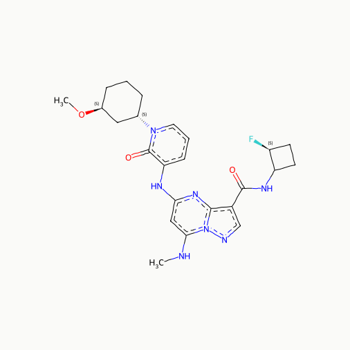 CNc1cc(Nc2cccn([C@H]3CCC[C@H](OC)C3)c2=O)nc2c(C(=O)NC3CC[C@@H]3F)cnn12